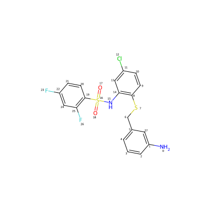 Nc1cccc(CSc2ccc(Cl)cc2NS(=O)(=O)c2ccc(F)cc2F)c1